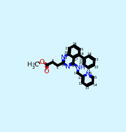 COC(=O)CCc1nc(NCc2ccccn2)c2c(-c3ccccc3)cccc2n1